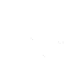 c1ccc(C2CCNC2)nc1.c1ccncc1